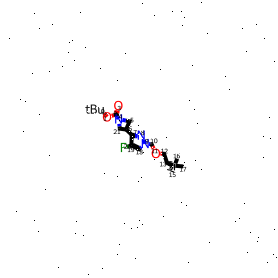 CC(C)(C)OC(=O)N1CC(c2nn(COCC[Si](C)(C)C)cc2F)C1